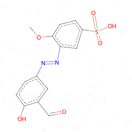 COc1ccc(S(=O)(=O)O)cc1N=Nc1ccc(O)c(C=O)c1